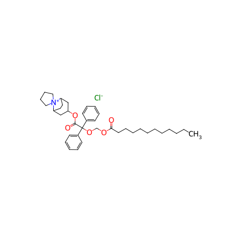 CCCCCCCCCCCC(=O)OCOC(C(=O)OC1CC2CCC(C1)[N+]21CCCC1)(c1ccccc1)c1ccccc1.[Cl-]